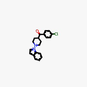 O=C(c1ccc(Cl)cc1)C1CCN(n2ccc3c[c]ccc32)CC1